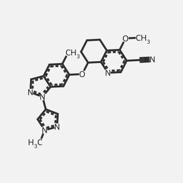 COc1c(C#N)cnc2c1CCCC2Oc1cc2c(cnn2-c2cnn(C)c2)cc1C